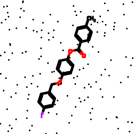 Cc1ccc(C(=O)Oc2ccc(OCc3ccc(I)cc3)cc2)cc1